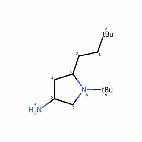 CC(C)(C)CCC1CC(N)CN1C(C)(C)C